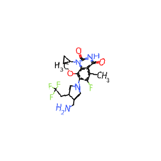 COc1c(N2CC(CN)C(CC(F)(F)F)C2)c(F)c(C)c2c(=O)[nH]c(=O)n(C3CC3)c12